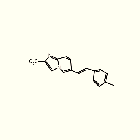 Cc1ccc(/C=C/c2ccc3nc(C(=O)O)cn3c2)cc1